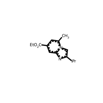 CCOC(=O)c1cc(C)n2cc(C(C)C)nc2c1